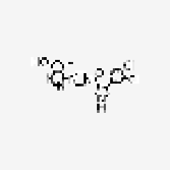 C[C@@H]1C[C@@H](O)c2ncnc(N3CCN(C(=O)C4CNCC4c4ccc(Cl)c(Cl)c4)CC3)c21